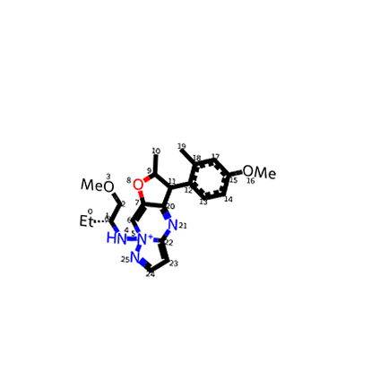 CC[C@H](COC)N[N+]12C=C3OC(C)C(c4ccc(OC)cc4C)C3=NC1=CC=N2